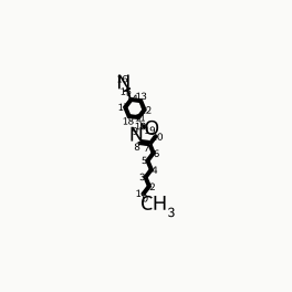 CCCCCCCC1=CN=C([C@H]2CC[C@H](C#N)CC2)OC1